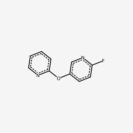 Fc1ccc(Oc2cc[c]cn2)cn1